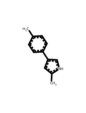 Cc1ccc(-c2c[nH]c(C)c2)cc1